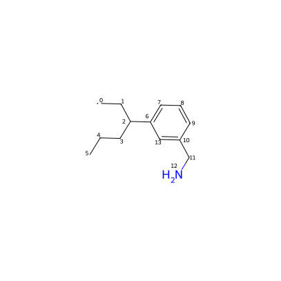 [CH2]CC(CCC)c1cccc(CN)c1